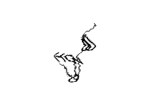 C=C(CCCCCCCN(CCO)CCCCCCCOC(=O)CCCCCCCCC)OC(CCCCCCCC)CCCCCCCC